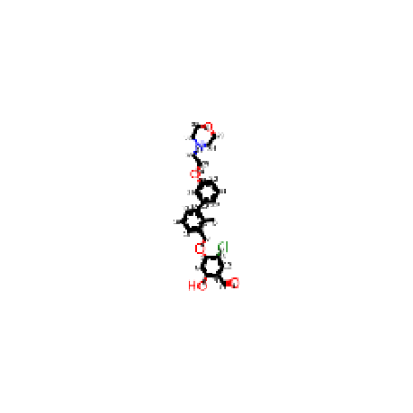 Cc1c(COc2cc(O)c(C=O)cc2Cl)cccc1-c1cccc(OCCN2CCOCC2)c1